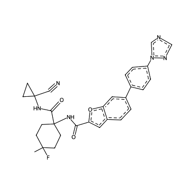 CC1(F)CCC(NC(=O)c2cc3ccc(-c4ccc(-n5cncn5)cc4)cc3o2)(C(=O)NC2(C#N)CC2)CC1